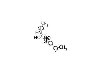 Cc1cncc(-c2ccc(S(=O)(=O)N3CC[C@@H](Nc4ccc(C(F)(F)F)cn4)[C@@H](O)C3)cc2)c1